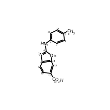 Cc1ccc(Nc2nc3ccc(C(=O)O)cc3o2)cc1